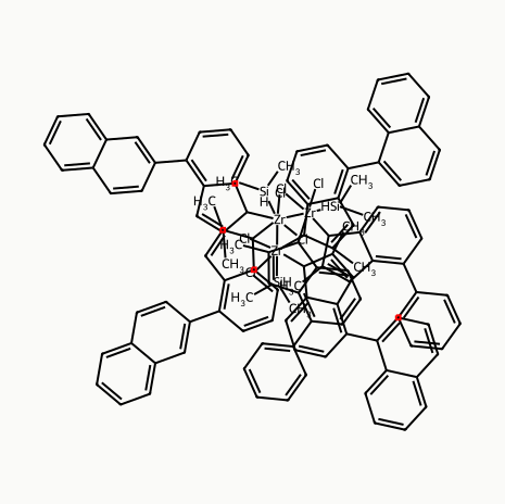 CC1=Cc2c(-c3ccccc3)cccc2[CH]1[Zr]([Cl])([Cl])([CH]1C(C)=Cc2c(-c3ccccc3)cccc21)([SiH](C)C)[Zr]([Cl])([Cl])([CH]1C(C)=Cc2c(-c3ccc4ccccc4c3)cccc21)([CH]1C(C)=Cc2c(-c3ccc4ccccc4c3)cccc21)([SiH](C)C)[Zr]([Cl])([Cl])([CH]1C(C)=Cc2c(-c3cccc4ccccc34)cccc21)([CH]1C(C)=Cc2c(-c3cccc4ccccc34)cccc21)[SiH](C)C